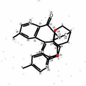 Cc1ccc(OC2CC3CCC2N(C(=O)c2ncc(C)cc2-c2ncccc2F)C3)nc1